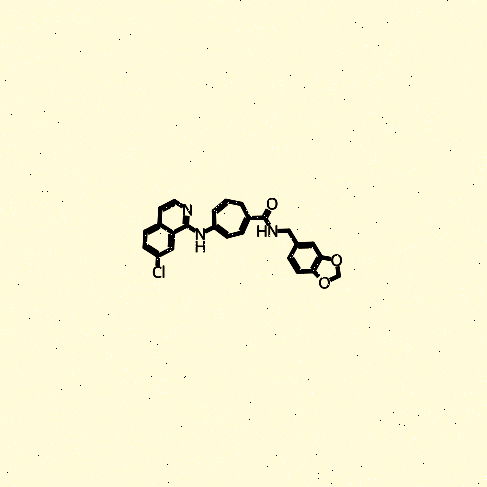 O=C(NCc1ccc2c(c1)OCO2)C1=CC=C(Nc2nccc3ccc(Cl)cc23)C=CC1